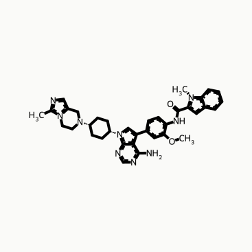 COc1cc(-c2cn([C@H]3CC[C@@H](N4CCn5c(cnc5C)C4)CC3)c3ncnc(N)c23)ccc1NC(=O)c1cc2ccccc2n1C